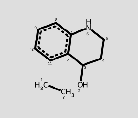 CC.OC1CCNc2ccccc21